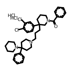 Cl.Cl.O=C(c1ccccc1)N1CCCC(CCCN2CCC(c3ccccc3)(N3CCCCC3)CC2)(c2ccc(Cl)c(Cl)c2)C1